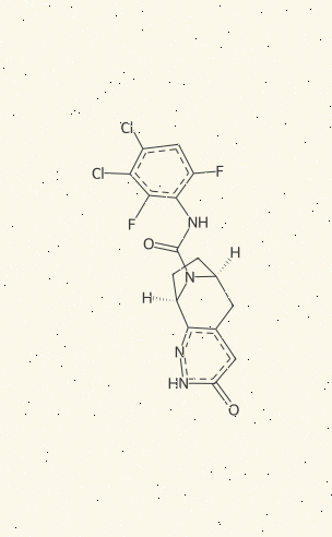 O=C(Nc1c(F)cc(Cl)c(Cl)c1F)N1[C@H]2CC[C@@H]1c1n[nH]c(=O)cc1C2